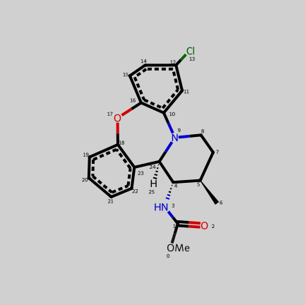 COC(=O)N[C@H]1[C@H](C)CCN2c3cc(Cl)ccc3Oc3ccccc3[C@H]12